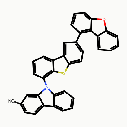 N#Cc1ccc2c3ccccc3n(-c3cccc4c3sc3ccc(-c5cccc6oc7ccccc7c56)cc34)c2c1